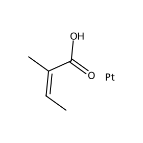 CC=C(C)C(=O)O.[Pt]